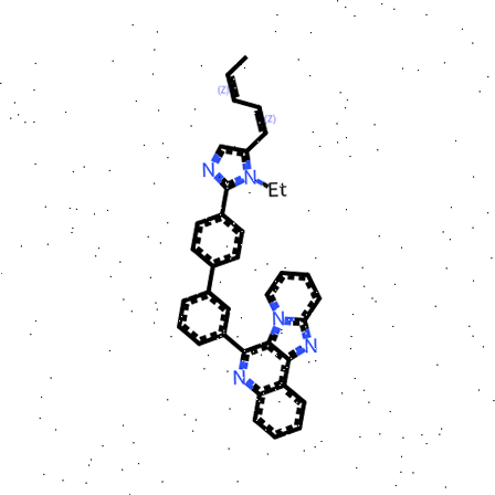 C/C=C\C=C/c1cnc(-c2ccc(-c3cccc(-c4nc5ccccc5c5nc6ccccn6c45)c3)cc2)n1CC